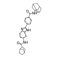 O=C(NC12CC3CC(CC(C3)C1)C2)c1ccc(-c2nc3ccc(NC(=O)C4CC5CCC4C5)cc3[nH]2)cc1